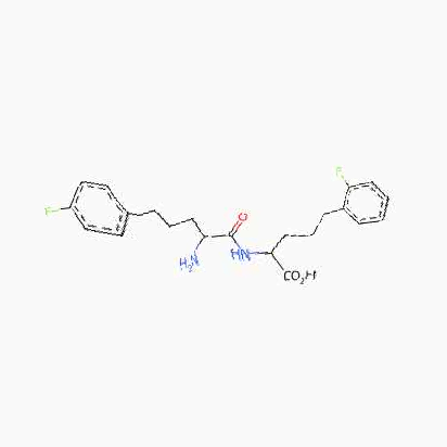 NC(CCCc1ccc(F)cc1)C(=O)NC(CCCc1ccccc1F)C(=O)O